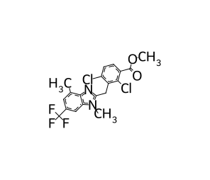 COC(=O)c1ccc(Cl)c(Cc2nc3c(C)cc(C(F)(F)F)cc3n2C)c1Cl